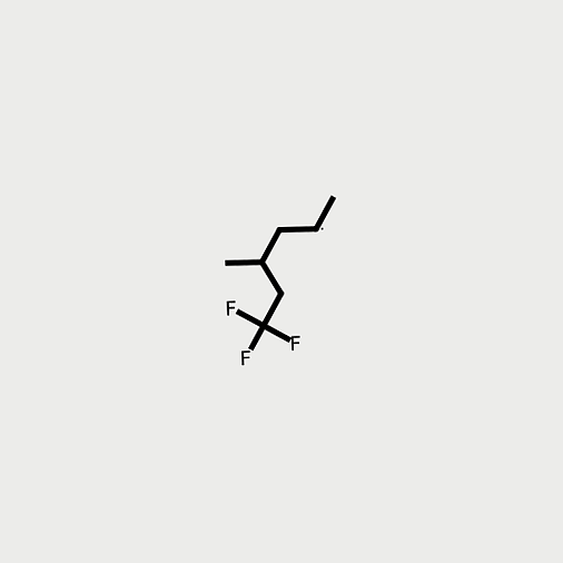 C[CH]CC(C)CC(F)(F)F